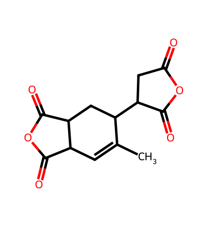 CC1=CC2C(=O)OC(=O)C2CC1C1CC(=O)OC1=O